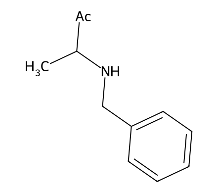 CC(=O)C(C)NCc1ccccc1